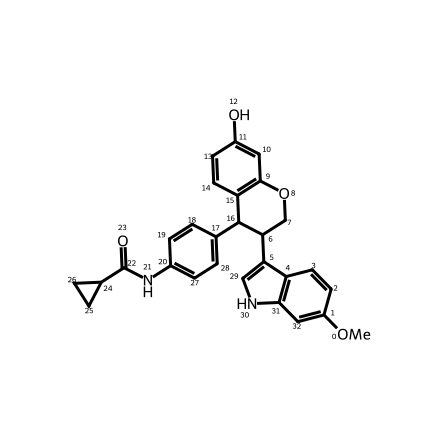 COc1ccc2c(C3COc4cc(O)ccc4C3c3ccc(NC(=O)C4CC4)cc3)c[nH]c2c1